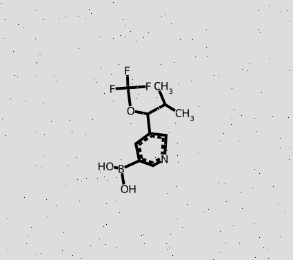 CC(C)C(OC(F)(F)F)c1cncc(B(O)O)c1